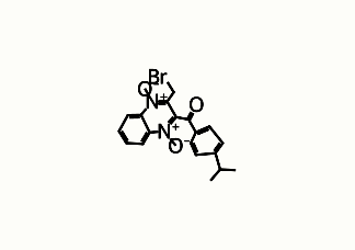 CC(C)c1ccc(C(=O)c2c(CBr)[n+]([O-])c3ccccc3[n+]2[O-])cc1